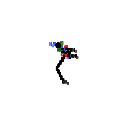 CCCCCCCC/C=C\CCCCCCCC(=O)OC[C@H](Cc1cncn1C)[C@H](CC)C(=O)N1CCN/C1=N\c1c(Cl)cc(N)cc1Cl